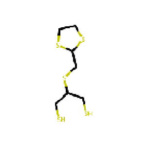 SCC(CS)SCC1SCCS1